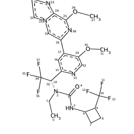 CCN(C(=O)NC1CCC1C(F)(F)F)[C@@H](c1cc(-c2cn3ccnc3c(OC)n2)c(OC)cn1)C(F)(F)F